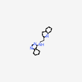 c1ccc2nc(CCNc3ncnc4ccccc34)ccc2c1